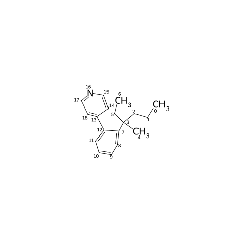 CCCC(C)(CC)c1ccccc1-c1ccncc1